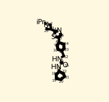 CC(C)N1CC(c2ncc(-c3ccc(CNC(=O)Nc4ccccc4)cc3)s2)C1